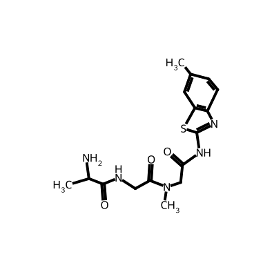 Cc1ccc2nc(NC(=O)CN(C)C(=O)CNC(=O)C(C)N)sc2c1